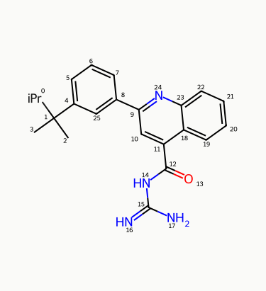 CC(C)C(C)(C)c1cccc(-c2cc(C(=O)NC(=N)N)c3ccccc3n2)c1